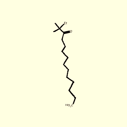 CCC(C)(C)C(=O)CCCCCCCCCCC(=O)O